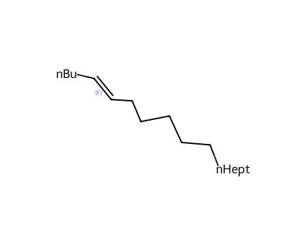 [CH2]CCCCCCCCCCC/C=C/CCCC